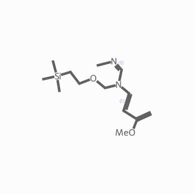 C=C(/C=C/N(/C=N\C)COCC[Si](C)(C)C)OC